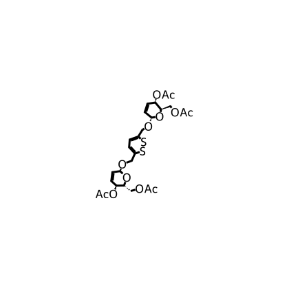 CC(=O)OC[C@H]1O[C@H](OCC2=CC=C(CO[C@@H]3C=C[C@H](OC(C)=O)[C@@H](COC(C)=O)O3)SS2)C=C[C@@H]1OC(C)=O